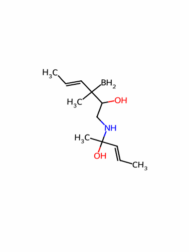 BC(C)(C=CC)C(O)CNC(C)(O)C=CC